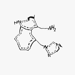 Nc1n[nH]c2cccc(-n3cncn3)c12